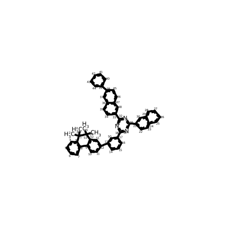 CC1(C)c2ccccc2-c2ccc(-c3cccc(-c4nc(-c5ccc6ccccc6c5)nc(-c5ccc6cc(-c7ccccc7)ccc6c5)n4)c3)cc2C1(C)C